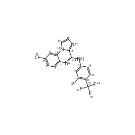 Fc1cc(Nc2nc3ccc(Cl)cc3n3ccnc23)ccc1C(F)(F)F